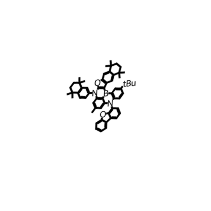 Cc1cc2c3c(c1)N(c1cccc4c1oc1ccccc14)c1ccc(C(C)(C)C)cc1B3c1c(oc3cc4c(cc13)C(C)(C)CCC4(C)C)N2c1ccc2c(c1)C(C)(C)CCC2(C)C